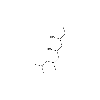 CCC(O)CC(O)CN(C)CN(C)C